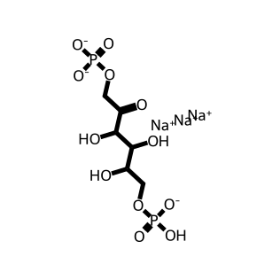 O=C(COP(=O)([O-])[O-])C(O)C(O)C(O)COP(=O)([O-])O.[Na+].[Na+].[Na+]